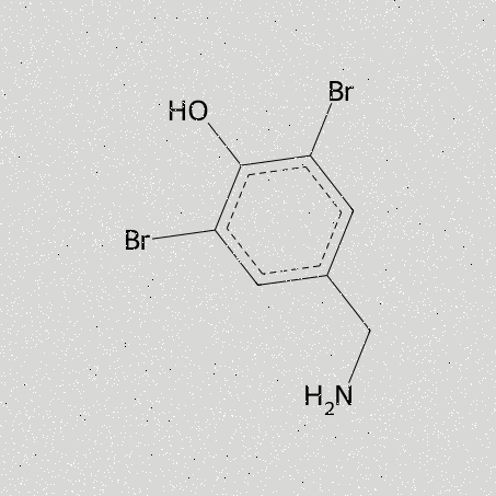 NCc1cc(Br)c(O)c(Br)c1